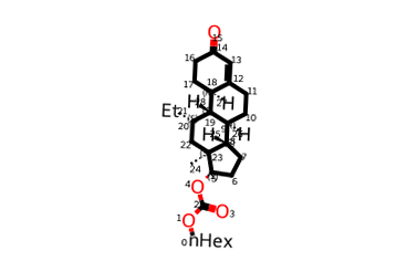 CCCCCCOC(=O)O[C@H]1CC[C@H]2[C@@H]3CCC4=CC(=O)CC[C@@H]4[C@H]3[C@@H](CC)C[C@]12C